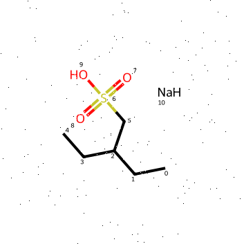 CCC(CC)CS(=O)(=O)O.[NaH]